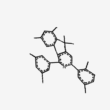 Cc1cc(C)cc(-c2nc(-c3cc(C)ccc3C)cc3c2-c2cc(C)cc(C)c2C3(C)C)c1